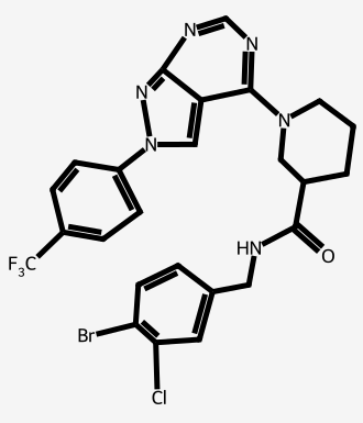 O=C(NCc1ccc(Br)c(Cl)c1)C1CCCN(c2ncnc3nn(-c4ccc(C(F)(F)F)cc4)cc23)C1